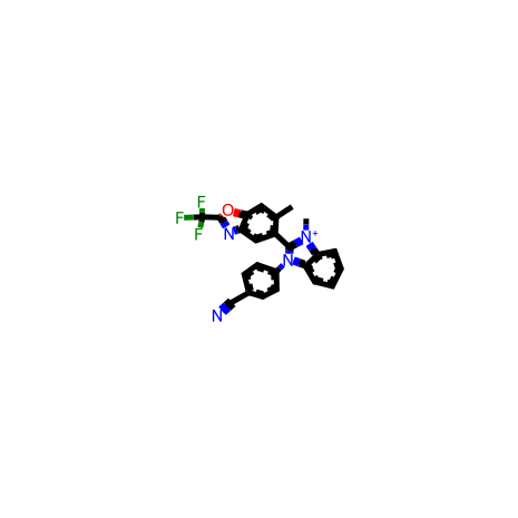 Cc1cc2oc(C(F)(F)F)nc2cc1-c1n(-c2ccc(C#N)cc2)c2ccccc2[n+]1C